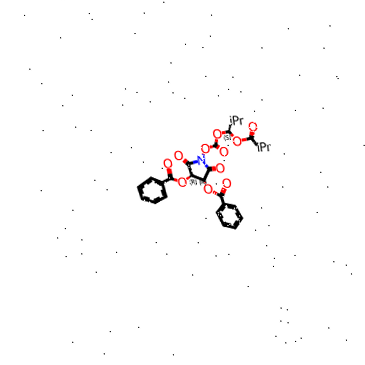 CC(C)C(=O)O[C@@H](OC(=O)ON1C(=O)[C@H](OC(=O)c2ccccc2)[C@@H](OC(=O)c2ccccc2)C1=O)C(C)C